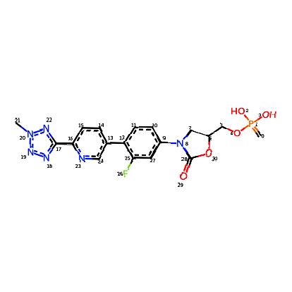 C=P(O)(O)OCC1CN(c2ccc(-c3ccc(-c4nnn(C)n4)nc3)c(F)c2)C(=O)O1